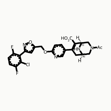 CC(=O)N1C[C@H]2CC(c3ccc(OCc4cc(-c5c(F)ccc(F)c5Cl)no4)nc3)=C(C(=O)O)[C@@H](C1)N2